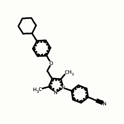 Cc1nn(-c2ccc(C#N)cc2)c(C)c1COc1ccc(C2CCCCC2)cc1